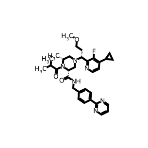 COCC[C@H](c1nccc(C2CC2)c1F)N1C[C@@H](C)N(C(=O)C(C)C)[C@@H](C(=O)NCc2ccc(-c3ncccn3)cc2)C1